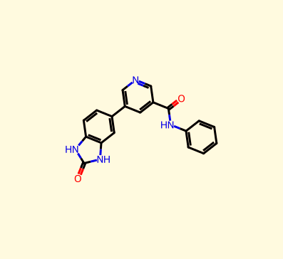 O=C(Nc1ccccc1)c1cncc(-c2ccc3[nH]c(=O)[nH]c3c2)c1